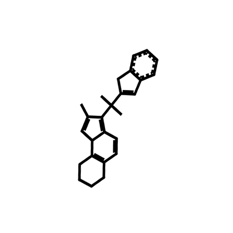 CC1=CC2C(=C1C(C)(C)C1=Cc3ccccc3C1)C=CC1=C2CCCC1